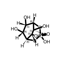 O=P1(O)O[C@H]2[C@@H](O)[C@@H](O)[C@H](O1)[C@@H](O)[C@@H]2O